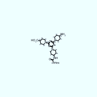 CCCCCCC(=O)NC1CCN(c2nc(N3CCC(N)CC3)nc(N3CCC(C(=O)O)CC3)n2)CC1